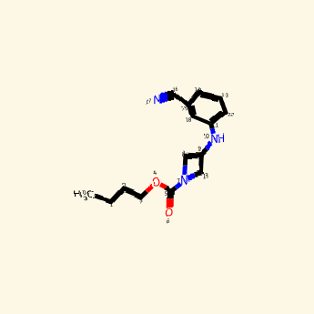 CCCCOC(=O)N1CC(Nc2cccc(C#N)c2)C1